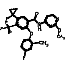 COc1cc(NC(=O)c2cc(C3(F)CC3)c(C(F)(F)F)cc2Oc2ccc(F)cc2C)ccn1